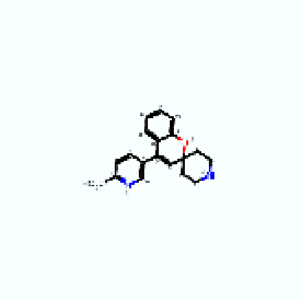 O=C(O)c1ccc(C2=CC3(CCNCC3)Oc3ccccc32)cn1